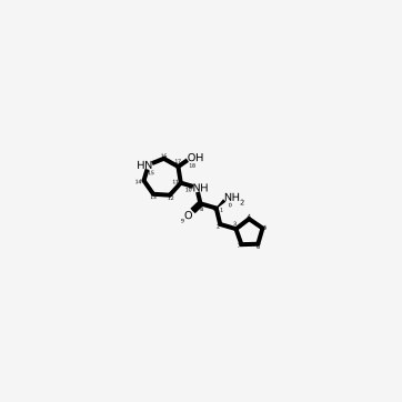 N[C@@H](CC1CCCC1)C(=O)NC1CCCNCC1O